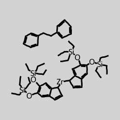 CC[Si](CC)(CC)Oc1cc2c(cc1O[Si](CC)(CC)CC)[CH]([Zr][CH]1C=Cc3cc(O[Si](CC)(CC)CC)c(O[Si](CC)(CC)CC)cc31)C=C2.c1ccc(CCc2ccccc2)cc1